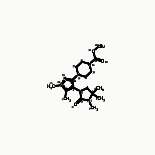 Cc1c(N2CC(C)(C)N(C)C2=O)c(N2CCN(C(=O)OC(C)(C)C)CC2)nn1C